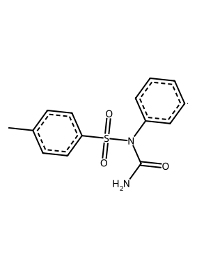 Cc1ccc(S(=O)(=O)N(C(N)=O)c2c[c]ccc2)cc1